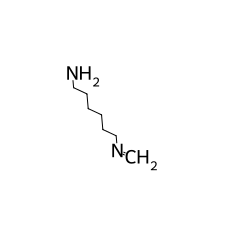 C=NCCCCCCN